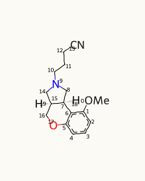 COc1cccc2c1[C@@H]1CN(CCCC#N)C[C@@H]1CO2